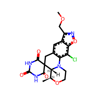 COCc1noc2c(Cl)c3c(cc12)CC1(C(=O)NC(=O)NC1=O)[C@H]1[C@H](C)OCCN31